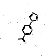 CC(=O)c1ccc(-n2cnnn2)nc1